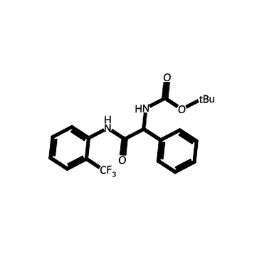 CC(C)(C)OC(=O)NC(C(=O)Nc1ccccc1C(F)(F)F)c1ccccc1